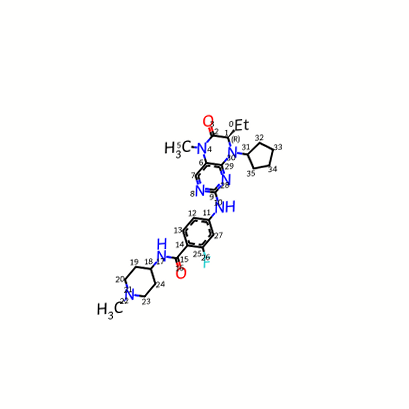 CC[C@@H]1C(=O)N(C)c2cnc(Nc3ccc(C(=O)NC4CCN(C)CC4)c(F)c3)nc2N1C1CCCC1